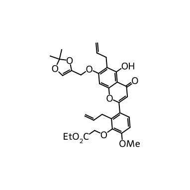 C=CCc1c(-c2cc(=O)c3c(O)c(CC=C)c(OCC4=COC(C)(C)O4)cc3o2)ccc(OC)c1OCC(=O)OCC